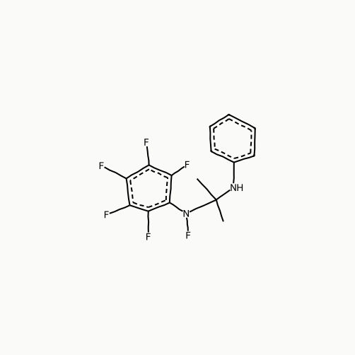 CC(C)(Nc1ccccc1)N(F)c1c(F)c(F)c(F)c(F)c1F